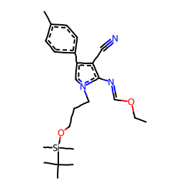 CCO/C=N/c1c(C#N)c(-c2ccc(C)cc2)cn1CCCO[Si](C)(C)C(C)(C)C